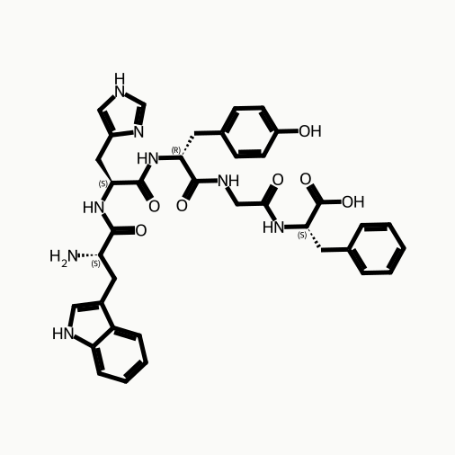 N[C@@H](Cc1c[nH]c2ccccc12)C(=O)N[C@@H](Cc1c[nH]cn1)C(=O)N[C@H](Cc1ccc(O)cc1)C(=O)NCC(=O)N[C@@H](Cc1ccccc1)C(=O)O